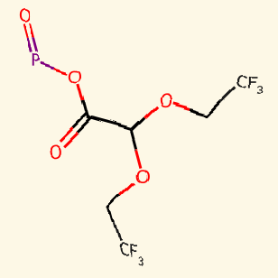 O=POC(=O)C(OCC(F)(F)F)OCC(F)(F)F